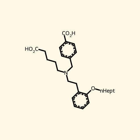 CCCCCCCOc1ccccc1CCN(CCCCC(=O)O)Cc1ccc(C(=O)O)cc1